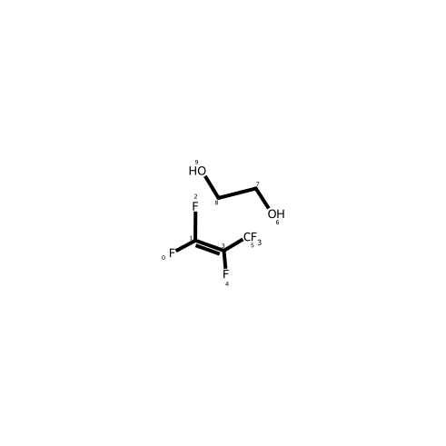 FC(F)=C(F)C(F)(F)F.OCCO